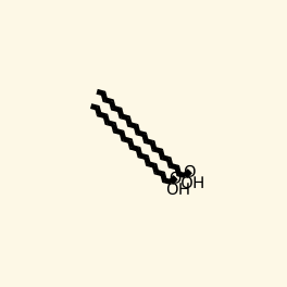 CCCCCCCCCCCCCCCCCCCC(=O)O.CCCCCCCCCCCCCCCCCCCCCC(=O)O